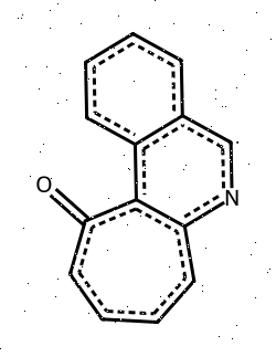 O=c1ccccc2n[c]c3ccccc3c12